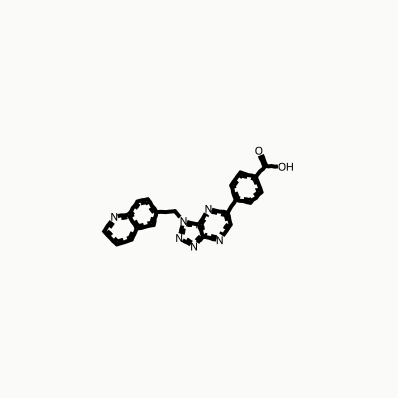 O=C(O)c1ccc(-c2cnc3nnn(Cc4ccc5ncccc5c4)c3n2)cc1